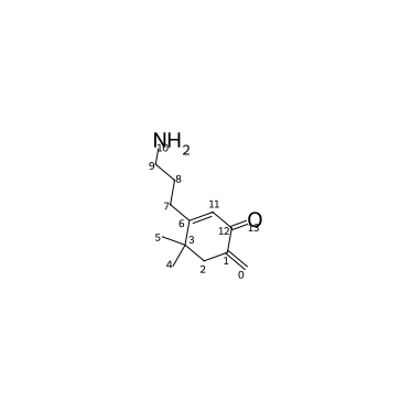 C=C1CC(C)(C)C(CCCN)=CC1=O